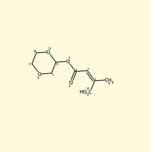 C/C(=C/C(=O)OC1COCCO1)C(=O)O